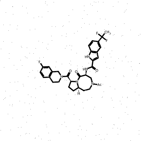 CC(=O)N1CC[C@H]2CC[C@@H](C(=O)N3CCc4ccc(F)cc4C3)N2C(=O)[C@@H](NC(=O)c2cc3cc(C(C)(F)F)ccc3[nH]2)C1